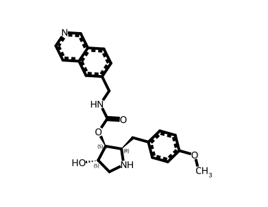 COc1ccc(C[C@H]2NC[C@H](O)[C@H]2OC(=O)NCc2ccc3cnccc3c2)cc1